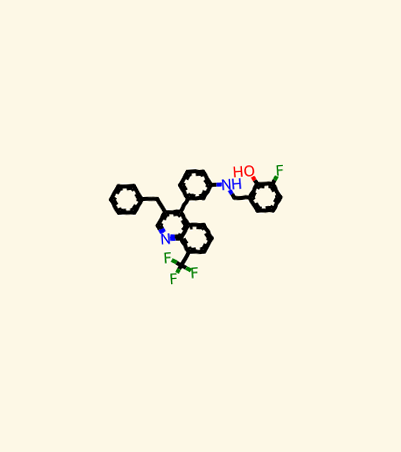 Oc1c(F)cccc1CNc1cccc(-c2c(Cc3ccccc3)cnc3c(C(F)(F)F)cccc23)c1